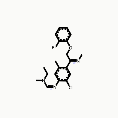 CCN(C)/C=N\c1cc(C)c(/C(COc2ccccc2Br)=N/C)cc1Cl